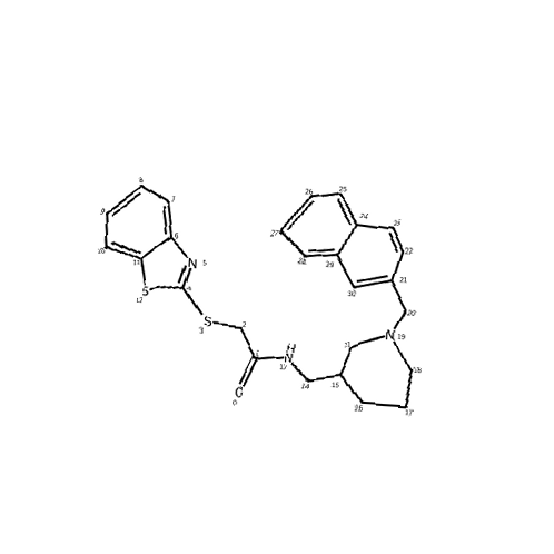 O=C(CSc1nc2ccccc2s1)NCC1CCCN(Cc2ccc3ccccc3c2)C1